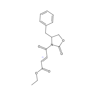 CCOC(=O)/C=C/C(=O)N1C(=O)OCC1Cc1ccccc1